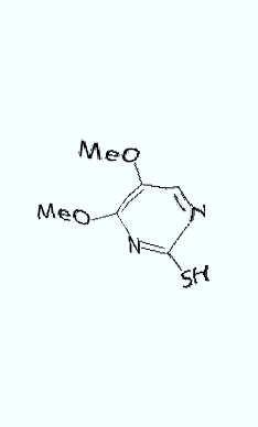 COc1cnc(S)nc1OC